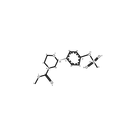 COC(=O)N1CCO[C@H](c2ccc(OS(C)(=O)=O)cc2)C1